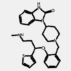 CNCCC(Oc1ccccc1CN1CCC(n2c(=O)[nH]c3ccccc32)CC1)c1cccs1